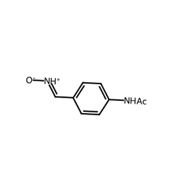 CC(=O)Nc1ccc(C=[NH+][O-])cc1